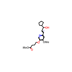 COC(=O)CCCOc1cnc(/C=C/C(O)C2CCCC2)cc1OC